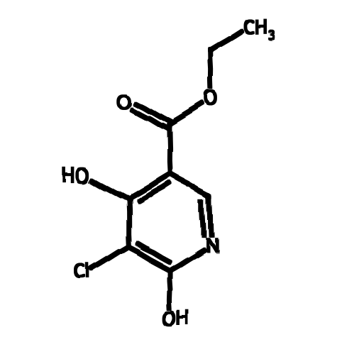 CCOC(=O)c1cnc(O)c(Cl)c1O